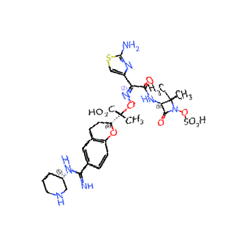 CC(O/N=C(\C(=O)N[C@@H]1C(=O)N(OS(=O)(=O)O)C1(C)C)c1csc(N)n1)(C(=O)O)[C@H]1CCc2cc(C(=N)N[C@H]3CCCNC3)ccc2O1